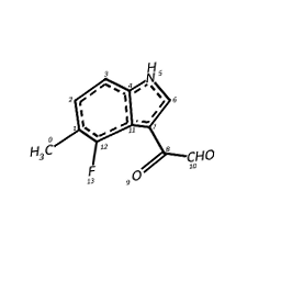 Cc1ccc2[nH]cc(C(=O)C=O)c2c1F